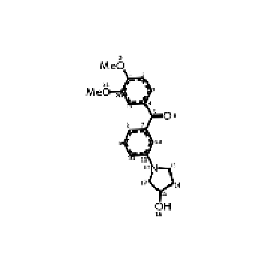 COc1ccc(C(=O)c2cccc(N3CCC(O)C3)c2)cc1OC